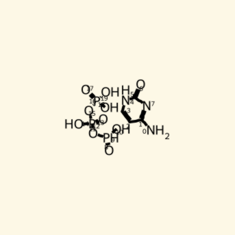 Nc1cc[nH]c(=O)n1.O=[PH](O)OP(=O)(O)OP(=O)(O)O